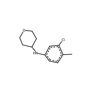 Cc1ccc(NC2CCOCC2)cc1Cl